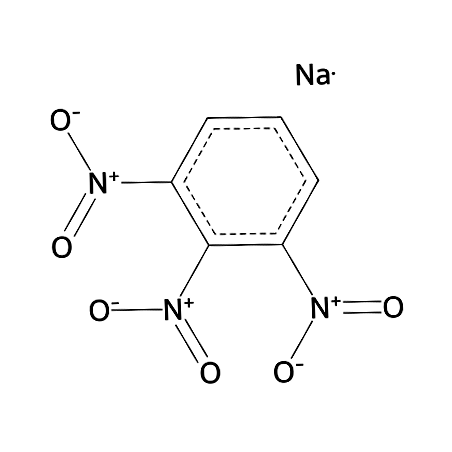 O=[N+]([O-])c1cccc([N+](=O)[O-])c1[N+](=O)[O-].[Na]